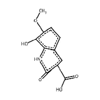 COc1ccc2cc(C(=O)O)c(=O)[nH]c2c1O